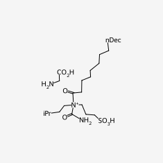 CCCCCCCCCCCCCCCCCC(=O)[N+](CCCS(=O)(=O)O)(CCC(C)C)C(N)=O.NCC(=O)O